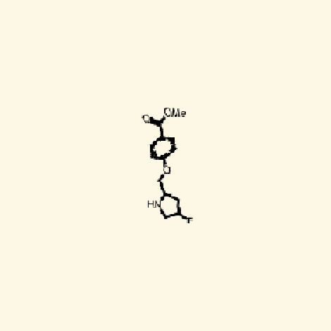 COC(=O)c1ccc(OCC2CC(F)CN2)cc1